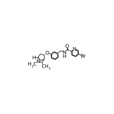 C[C@@H]1C2C[C@@H](C[C@@H]2Oc2cccc(CNC(=O)c3ccc(Br)cn3)c2)N1C